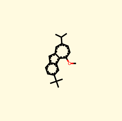 COc1ccc(C(C)C)cc2cc3ccc(C(C)(C)C)cc3c1-2